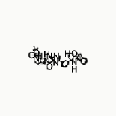 CC(C)(C)OC(=O)N1CC[C@H](CNC(=O)c2nc(-c3cccc(C(=O)N[C@@H]4c5ccccc5C[C@@H]4O)c3)cnc2N)C1